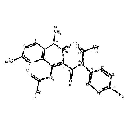 COc1ccc2c(c1)c(OC(=O)C(C)C)c(C(=O)N(C(=O)C(C)C)c1ccc(F)cc1)c(=O)n2C